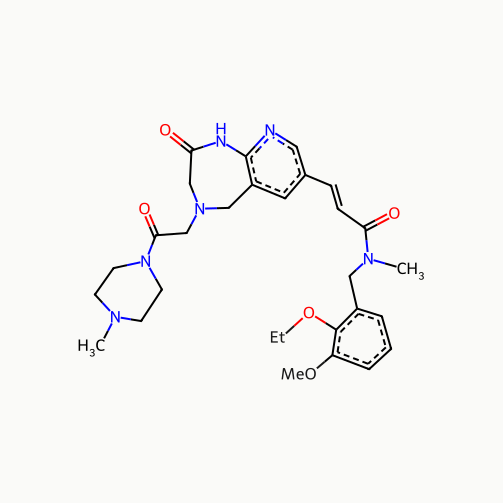 CCOc1c(CN(C)C(=O)C=Cc2cnc3c(c2)CN(CC(=O)N2CCN(C)CC2)CC(=O)N3)cccc1OC